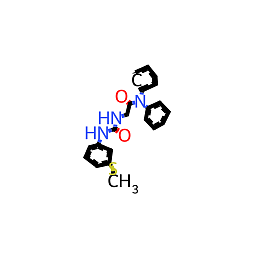 CSc1cccc(NC(=O)NCC(=O)N(c2ccccc2)c2ccccc2)c1